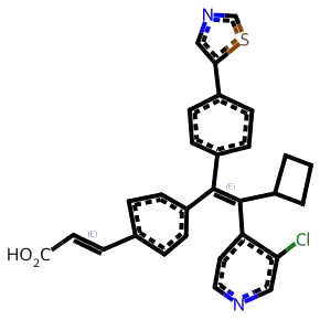 O=C(O)/C=C/c1ccc(/C(=C(\c2ccncc2Cl)C2CCC2)c2ccc(-c3cncs3)cc2)cc1